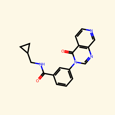 O=C(NCC1CC1)c1cccc(-n2cnc3cnccc3c2=O)c1